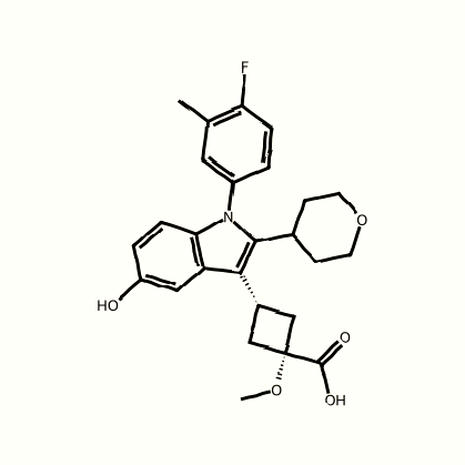 CO[C@]1(C(=O)O)C[C@H](c2c(C3CCOCC3)n(-c3ccc(F)c(C)c3)c3ccc(O)cc32)C1